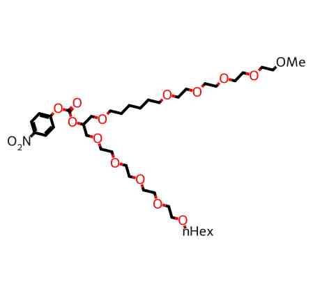 CCCCCCOCCOCCOCCOCCOCC(COCCCCCCOCCOCCOCCOCCOC)OC(=O)Oc1ccc([N+](=O)[O-])cc1